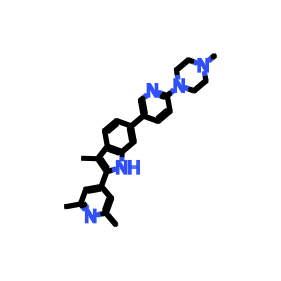 Cc1cc(-c2[nH]c3cc(-c4ccc(N5CCN(C)CC5)nc4)ccc3c2C)cc(C)n1